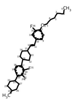 CCCCCCOc1ccc(/C=C/C2CCC(c3ccc(C4CCC(C)CC4)c(F)c3F)CC2)cc1F